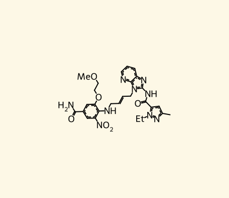 CCn1nc(C)cc1C(=O)Nc1nc2cccnc2n1CC=CCNc1c(OCCOC)cc(C(N)=O)cc1[N+](=O)[O-]